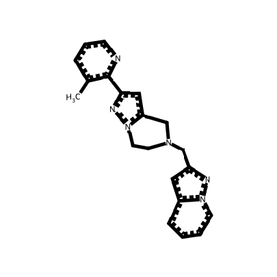 Cc1cccnc1-c1cc2n(n1)CCN(Cc1cc3ccccn3n1)C2